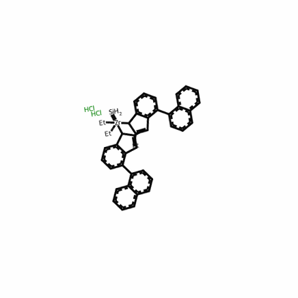 CCC1=Cc2c(-c3cccc4ccccc34)cccc2[CH]1[Zr](=[SiH2])([CH2]C)([CH2]C)[CH]1C(C)=Cc2c(-c3cccc4ccccc34)cccc21.Cl.Cl